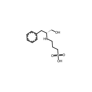 O=S(=O)(O)CCCN[C@@H](CO)Cc1ccccc1